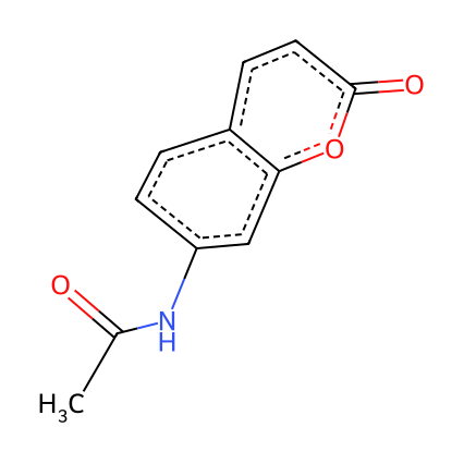 CC(=O)Nc1ccc2ccc(=O)oc2c1